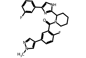 Cn1cc(-c2ccc(F)c(C(=O)N3CCCCC3c3nc(-c4cccc(F)c4)c[nH]3)c2)cn1